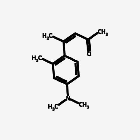 CC(=O)/C=C(/C)c1ccc(N(C)C)cc1C